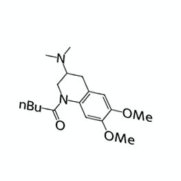 CCCCC(=O)N1CC(N(C)C)Cc2cc(OC)c(OC)cc21